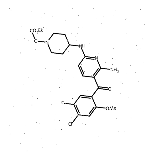 CCOC(=O)ON1CCC(Nc2ccc(C(=O)c3cc(F)c(Cl)cc3OC)c(N)n2)CC1